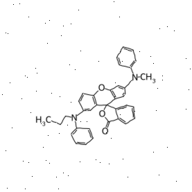 CCCN(c1ccccc1)c1ccc2c(c1)C1(OC(=O)c3ccccc31)c1ccc(N(C)c3ccccc3)cc1O2